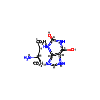 N[C@@H](CC(=O)O)C(=O)O.O=c1[nH]c(=O)c2[nH]cnc2[nH]1